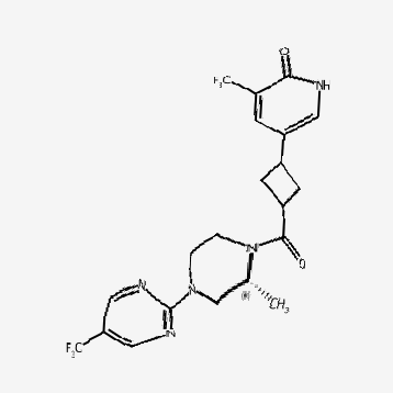 C[C@@H]1CN(c2ncc(C(F)(F)F)cn2)CCN1C(=O)C1CC(c2c[nH]c(=O)c(C(F)(F)F)c2)C1